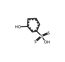 Oc1cccc(S(O)(=S)=S)c1